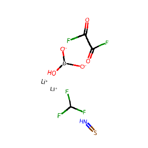 FC(F)F.N=S.O=C(F)C(=O)F.[Li+].[Li+].[O-]B([O-])O